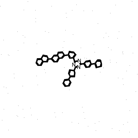 c1cccc(-c2ccc(-c3nc(-c4cccc(-c5ccc6cc(-c7ccc8ccccc8c7)ccc6c5)c4)nc(C4C=CC(c5ccccc5)=CC4)n3)cc2)c#1